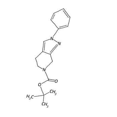 CC(C)(C)OC(=O)N1CCc2cn(-c3ccccc3)nc2C1